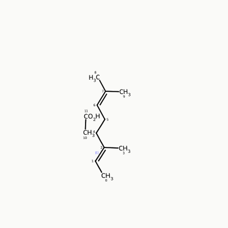 C/C=C(\C)CCC=C(C)C.CC(=O)O